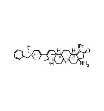 CC(C)C1=C2[C@H]3CC[C@@H]4[C@@]5(C)CC=C(C6=CC[C@](CF)(Cc7ccccc7)CC6)C(C)(C)[C@@H]5CC[C@@]4(C)[C@]3(C)CC[C@@]2(N)CC1=O